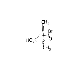 CC#CC(C#CC)(CC(=O)O)C(=O)Br